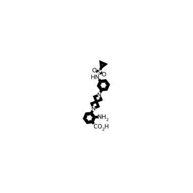 Nc1c(C(=O)O)cccc1N1CC2(CN(c3cccc(NS(=O)(=O)C4CC4)c3)C2)C1